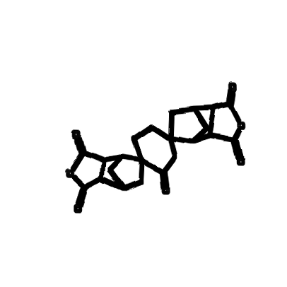 O=C1OC(=O)C2C1C1CC2C2(CCC3(CC4CC3C3C(=O)OC(=O)C43)C(=O)C2)C1